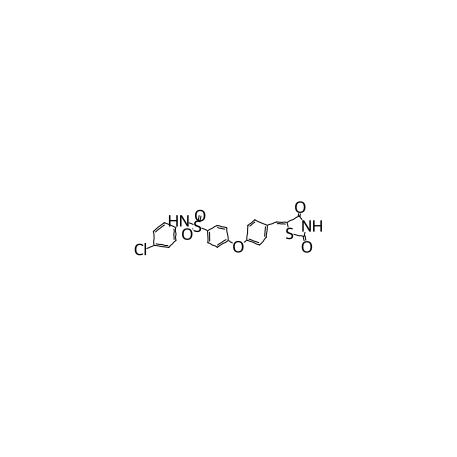 O=C1NC(=O)C(=Cc2ccc(Oc3ccc(S(=O)(=O)Nc4ccc(Cl)cc4)cc3)cc2)S1